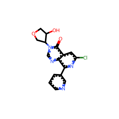 O=c1c2cc(Cl)nc(-c3cccnc3)c2ncn1C1COCC1O